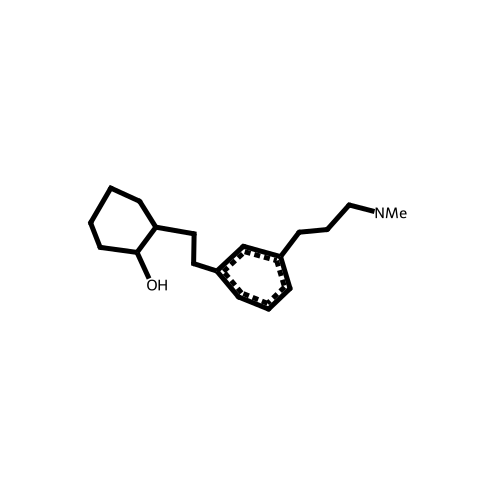 CNCCCc1cccc(CCC2CCCCC2O)c1